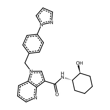 O=C(N[C@H]1CCCC[C@@H]1O)c1cn(Cc2ccc(-n3cccn3)cc2)c2cccnc12